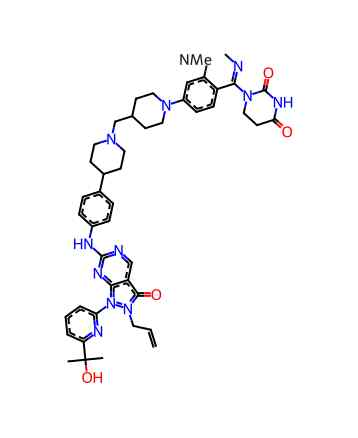 C=CCn1c(=O)c2cnc(Nc3ccc(C4CCN(CC5CCN(c6ccc(/C(=N\C)N7CCC(=O)NC7=O)c(NC)c6)CC5)CC4)cc3)nc2n1-c1cccc(C(C)(C)O)n1